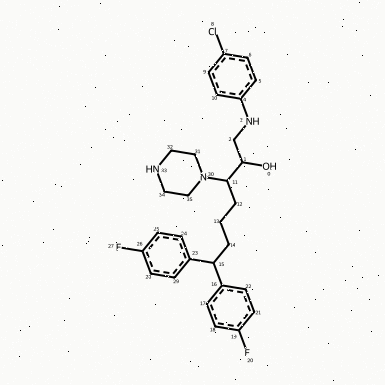 OC(CNc1ccc(Cl)cc1)C(CCCC(c1ccc(F)cc1)c1ccc(F)cc1)N1CCNCC1